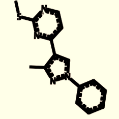 CSc1nccc(-c2cn(-c3ccccc3)nc2C)n1